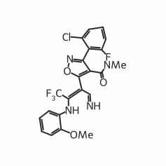 CNC(=O)c1c(-c2c(F)cccc2Cl)noc1/C(C=N)=C(/Nc1ccccc1OC)C(F)(F)F